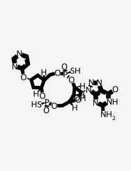 Nc1nc2c(nnn2[C@@H]2O[C@@H]3CO[P@@](=O)(S)O[C@H]4C[C@H](Oc5ccncn5)C[C@@H]4CO[P@@](=O)(S)O[C@@H]2[C@@H]3O)c(=O)[nH]1